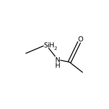 C[SiH2]NC(C)=O